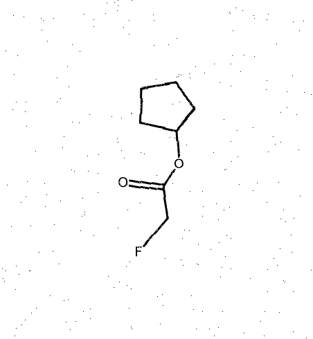 O=C(CF)OC1CCCC1